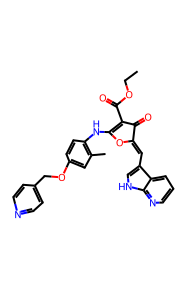 CCOC(=O)C1=C(Nc2ccc(OCc3ccncc3)cc2C)O/C(=C\c2c[nH]c3ncccc23)C1=O